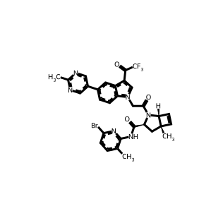 Cc1ncc(-c2ccc3c(c2)c(C(=O)C(F)(F)F)cn3CC(=O)N2[C@H](C(=O)Nc3nc(Br)ccc3C)C[C@@]3(C)C=C[C@@H]23)cn1